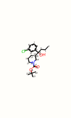 CCC[C@](O)(c1cccc(Cl)c1)[C@@H]1CCCN(C(=O)OC(C)(C)C)C1